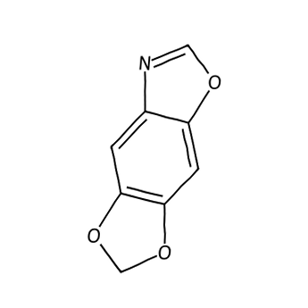 c1nc2cc3c(cc2o1)OCO3